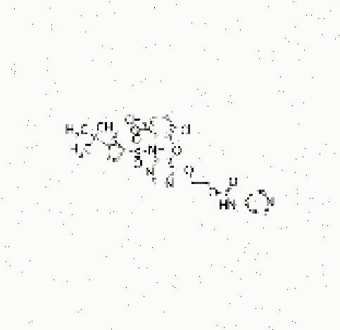 COc1ccc(Cl)c(Oc2c(NS(=O)(=O)c3ccc(C(C)(C)C)s3)ncnc2OCCOC(=O)Nc2ccncc2)c1